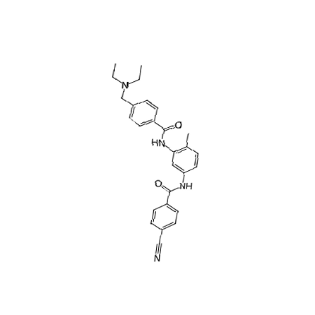 CCN(CC)Cc1ccc(C(=O)Nc2cc(NC(=O)c3ccc(C#N)cc3)ccc2C)cc1